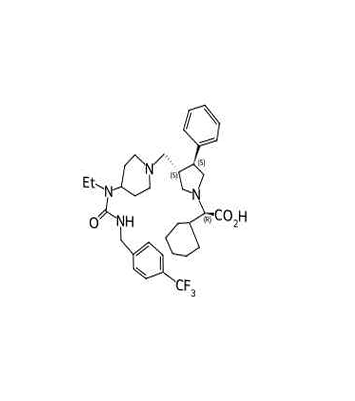 CCN(C(=O)NCc1ccc(C(F)(F)F)cc1)C1CCN(C[C@H]2CN([C@@H](C(=O)O)C3CCCCC3)C[C@@H]2c2ccccc2)CC1